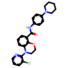 O=C(Nc1ccc(N2CCCCC2)cc1)c1cccc2c1OCCN2c1ncccc1Cl